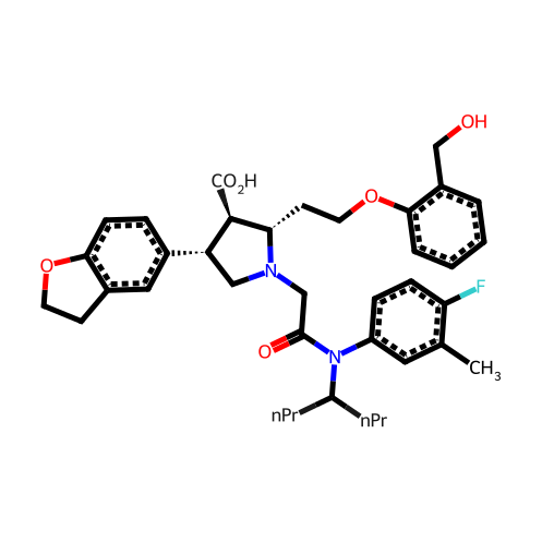 CCCC(CCC)N(C(=O)CN1C[C@H](c2ccc3c(c2)CCO3)[C@@H](C(=O)O)[C@@H]1CCOc1ccccc1CO)c1ccc(F)c(C)c1